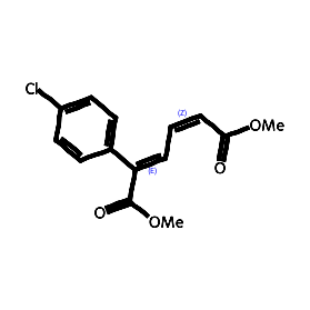 COC(=O)/C=C\C=C(\C(=O)OC)c1ccc(Cl)cc1